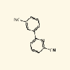 N#Cc1cccc(-c2cccc(C#N)n2)c1